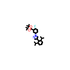 CC(C)c1cccc(C(C)C)c1-c1cnn(-c2ccc(F)c(C3OC(C)(C)C(C)(C)O3)c2)c1